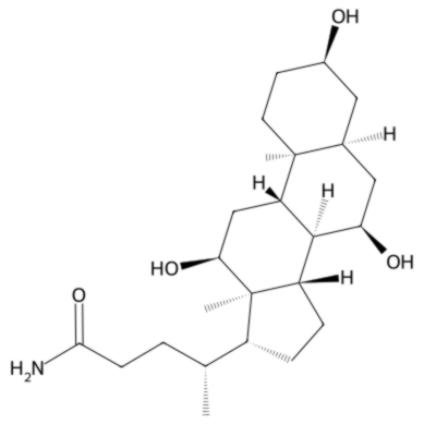 C[C@H](CCC(N)=O)[C@H]1CC[C@H]2[C@@H]3[C@H](O)C[C@@H]4C[C@H](O)CC[C@]4(C)[C@H]3C[C@H](O)[C@]12C